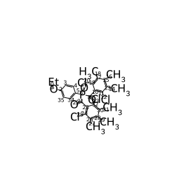 CCOc1ccc(P(=O)(C(=O)c2c(Cl)c(C)c(C)c(C)c2Cl)C(=O)c2c(Cl)c(C)c(C)c(C)c2Cl)cc1